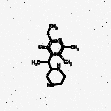 CCc1nc(C)c(C)n(C(C)C2CNCCN2)c1=O